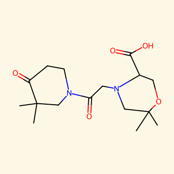 CC1(C)CN(CC(=O)N2CCC(=O)C(C)(C)C2)C(C(=O)O)CO1